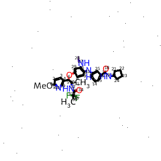 COc1ccc(C(Oc2ccc(Nc3cccc(C(=O)NC4CCCC4)c3)c(NI)c2)[C@H](C)NC(=O)C(C)(F)F)cn1